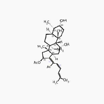 CC(=O)O[C@H]1C[C@@]2(C)[C@@H](C[C@@H](O)[C@H]3[C@@]4(C)CC[C@@H](O)[C@@H](C)[C@@H]4CC[C@@]32CN)/C1=C(\C=C/C=C(C)C)C(C)=O